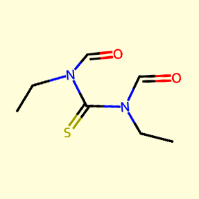 CCN(C=O)C(=S)N(C=O)CC